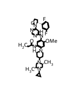 C=CC(=O)Nc1cc(Nc2cc(N3OCC[C@@H]3c3cc(F)ccc3F)ncn2)c(OC)cc1N1CCC(N2C[C@H](C)N(C3CC3)C[C@H]2C)CC1